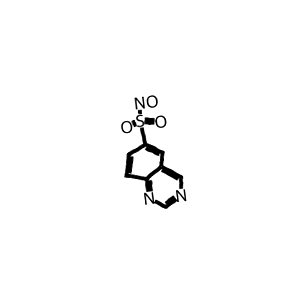 O=NS(=O)(=O)c1ccc2ncncc2c1